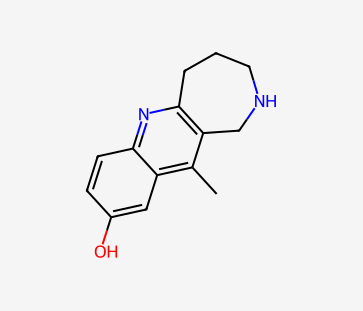 Cc1c2c(nc3ccc(O)cc13)CCCNC2